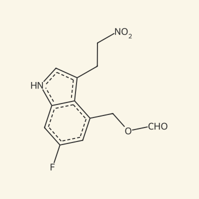 O=COCc1cc(F)cc2[nH]cc(CC[N+](=O)[O-])c12